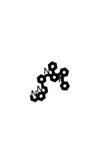 c1ccc(-n2c3ccccc3c3c4c(ccc32)c(-c2cccc(-c3ccc5ccc6cccnc6c5n3)c2)nc2ccccc24)cc1